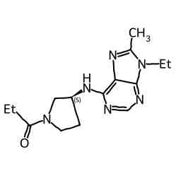 CCC(=O)N1CC[C@H](Nc2ncnc3c2nc(C)n3CC)C1